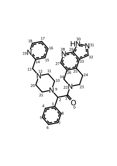 O=C(C(c1ccccc1)N1CCN(Cc2ccccn2)CC1)N1CCc2c(cnc3[nH]ncc23)C1